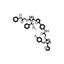 CC(c1ccccc1)n1c(SCC(=O)Nc2ccccc2)nnc1-c1ccc(-c2ccc(NC(=O)CSc3nnc(-c4ccco4)n3Cc3ccc(F)cc3)cc2)o1